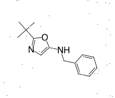 CC(C)(C)c1ncc(NCc2ccccc2)o1